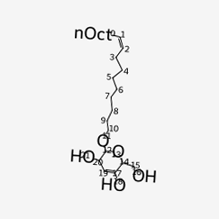 CCCCCCCC/C=C\CCCCCCCCOC1OC(CO)C(O)=CC1O